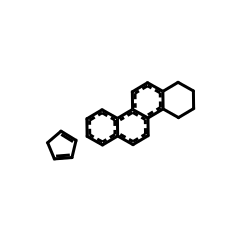 C1=CCC=C1.c1ccc2c(c1)ccc1c3c(ccc12)CCCC3